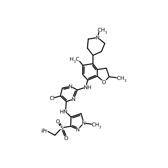 Cc1cc(Nc2ncc(Cl)c(Nc3cn(C)nc3S(=O)(=O)CC(C)C)n2)c2c(c1C1CCN(C)CC1)CC(C)O2